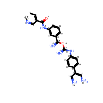 C/C=C(\C=N/CC)C(=O)Nc1cccc(C(=N)OC(=N)Nc2ccc(/C(C=N)=C/N)cc2)c1